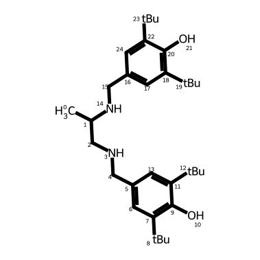 CC(CNCc1cc(C(C)(C)C)c(O)c(C(C)(C)C)c1)NCc1cc(C(C)(C)C)c(O)c(C(C)(C)C)c1